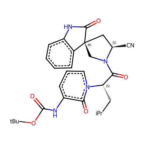 CC(C)C[C@@H](C(=O)N1C[C@]2(C[C@H]1C#N)C(=O)Nc1ccccc12)n1cccc(NC(=O)OC(C)(C)C)c1=O